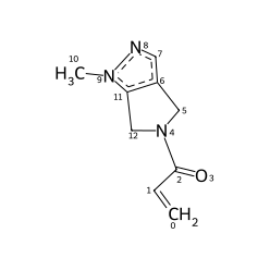 C=CC(=O)N1Cc2cnn(C)c2C1